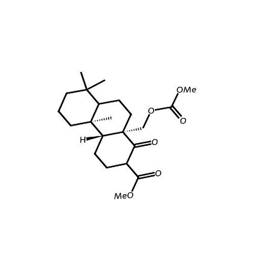 COC(=O)OC[C@@]12CCC3C(C)(C)CCC[C@]3(C)[C@H]1CCC(C(=O)OC)C2=O